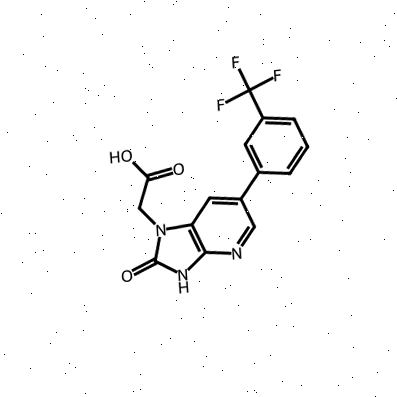 O=C(O)Cn1c(=O)[nH]c2ncc(-c3cccc(C(F)(F)F)c3)cc21